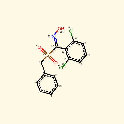 O=S(=O)(Cc1ccccc1)C(=NO)c1c(Cl)cccc1Cl